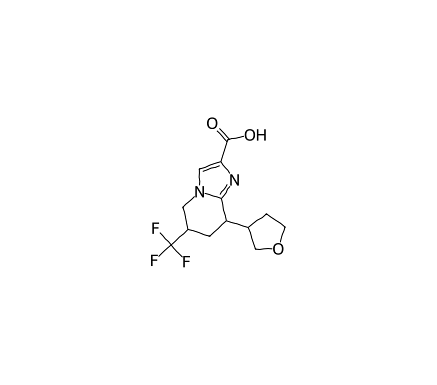 O=C(O)c1cn2c(n1)C(C1CCOC1)CC(C(F)(F)F)C2